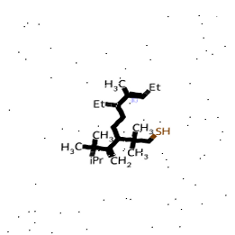 C=C(C(CCC(CC)/C(C)=C/CC)C(C)(C)CS)C(C)(C)C(C)C